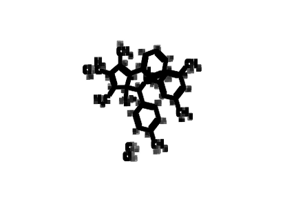 CC1=C(C)[C]([Ti+3])(C([SiH2]c2cc(C)cc(C)c2)c2ccc(C)cc2)C(c2ccccc2)=C1C.[Cl-].[Cl-].[Cl-]